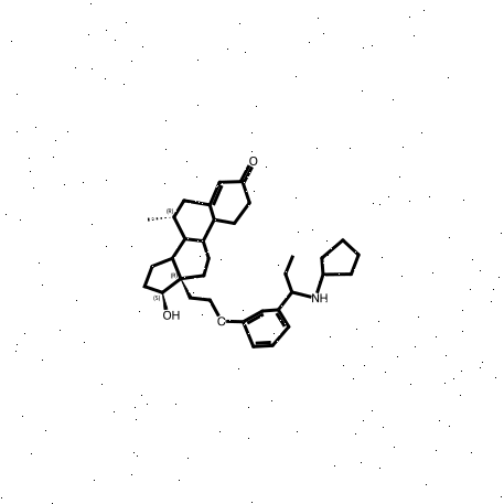 CCC(NC1CCCC1)c1cccc(OCC[C@]23CCC4C5CCC(=O)C=C5C[C@@H](C)C4C2CC[C@@H]3O)c1